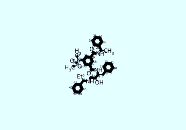 CC[C@H](NC[C@@H](O)[C@H](Cc1ccccc1)NC(=O)c1cc(C(=O)N[C@H](C)c2ccccc2)cc(N(C)S(C)(=O)=O)c1)c1ccccc1